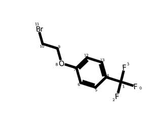 FC(F)(F)c1ccc(OCCBr)cc1